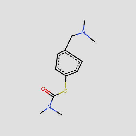 CN(C)Cc1ccc(SC(=O)N(C)C)cc1